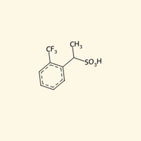 CC(c1ccccc1C(F)(F)F)S(=O)(=O)O